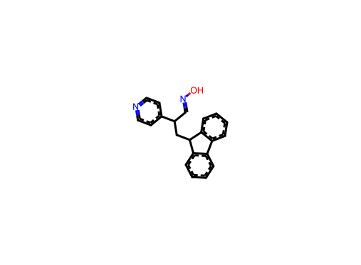 ON=CC(CC1c2ccccc2-c2ccccc21)c1ccncc1